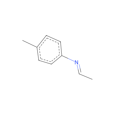 CC=Nc1ccc(C)cc1